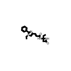 CCn1cc(C=CC(=O)NC2(CC)CC(=O)N2)nc1-c1ccccc1